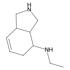 CCNC1CC=CC2CNCC21